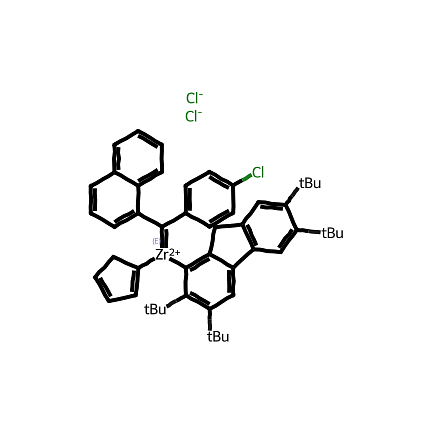 CC(C)(C)c1cc2c(cc1C(C)(C)C)-c1cc(C(C)(C)C)c(C(C)(C)C)[c](/[Zr+2]([C]3=CC=CC3)=[C](\c3ccc(Cl)cc3)c3cccc4ccccc34)c1C2.[Cl-].[Cl-]